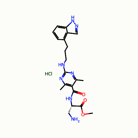 COC(=O)[C@H](CN)NC(=O)c1c(C)nc(NCCCc2cccc3[nH]ncc23)nc1C.Cl